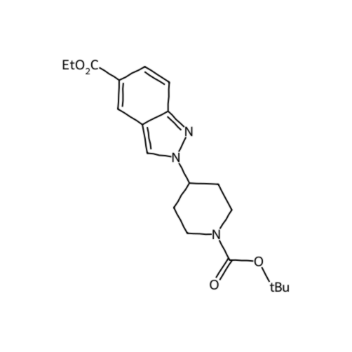 CCOC(=O)c1ccc2nn(C3CCN(C(=O)OC(C)(C)C)CC3)cc2c1